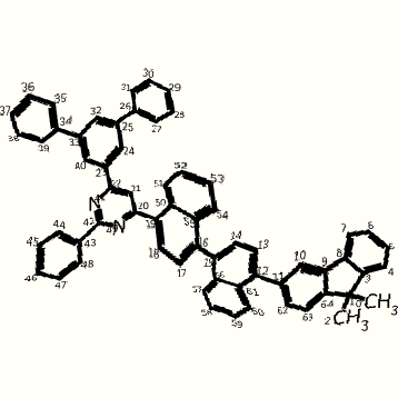 CC1(C)c2ccccc2-c2cc(-c3ccc(-c4ccc(-c5cc(-c6cc(-c7ccccc7)cc(-c7ccccc7)c6)nc(-c6ccccc6)n5)c5ccccc45)c4ccccc34)ccc21